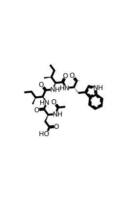 CC[C@H](C)[C@H](NC(=O)[C@H](CC(=O)O)NC(C)=O)C(=O)N[C@H](C(=O)N[C@H]([C]=O)Cc1c[nH]c2ccccc12)[C@@H](C)CC